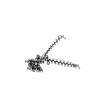 CCCCCCCCCCCCCCCC(=O)O[C@H](COC(=O)CCCCCCCCCCCCCCCN)COP(=O)(O)OC1C(O)[C@@H](OP(=O)(O)O)C(OP(=O)(O)O)[C@@H](OP(=O)(O)O)[C@H]1O